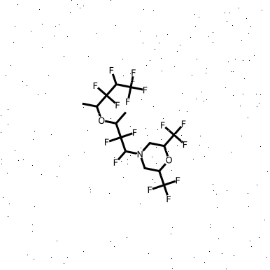 CC(OC(C)C(F)(F)C(F)C(F)(F)F)C(F)(F)C(F)N1CC(C(F)(F)F)OC(C(F)(F)F)C1